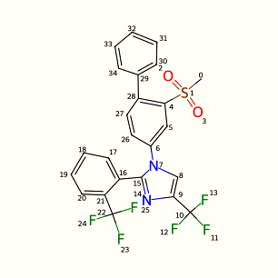 CS(=O)(=O)c1cc(-n2cc(C(F)(F)F)nc2-c2ccccc2C(F)(F)F)ccc1-c1ccccc1